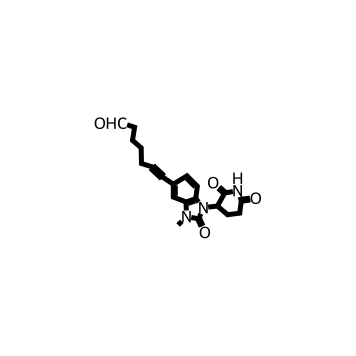 Cn1c(=O)n(C2CCC(=O)NC2=O)c2ccc(C#CCCCCC=O)cc21